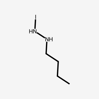 CCCCNNI